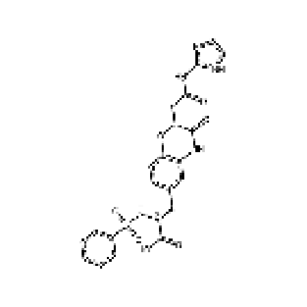 O=C(CC1Oc2ccc(C[C@H](NS(=O)(=O)c3ccccc3)C(=O)O)cc2NC1=O)Nc1ncc[nH]1